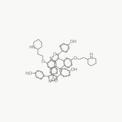 O=C(c1ccc(OCCC2CCCCN2)cc1-c1c(-c2ccc(O)cc2)noc1-c1ccc(O)cc1)c1ccc(OCCC2CCCCN2)cc1-c1c(-c2ccc(O)cc2)noc1-c1ccc(O)cc1